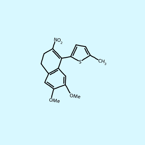 COc1cc2c(cc1OC)C(c1ccc(C)s1)=C([N+](=O)[O-])CC2